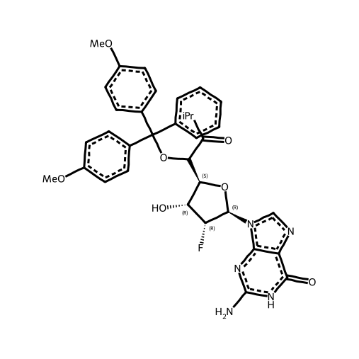 COc1ccc(C(OC(C(=O)C(C)C)[C@H]2O[C@@H](n3cnc4c(=O)[nH]c(N)nc43)[C@H](F)[C@@H]2O)(c2ccccc2)c2ccc(OC)cc2)cc1